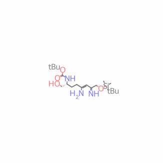 CC(C)(C)OC(=O)N[C@@H](CO)CC/C(N)=C/C(=N)CO[Si](C)(C)C(C)(C)C